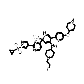 CN1CCC(Oc2ccc(C3=CNC(N)(c4ccnc(-c5cnn(S(=O)(=O)C6CC6)c5)n4)C=C3NC3CCN(CCF)CC3)nc2)CC1